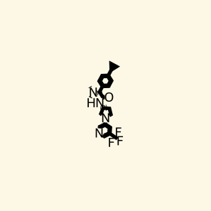 CN(C)[C@@H](C(=O)N[C@@H]1CCN(c2cncc(C(F)(F)F)c2)C1)c1ccc(C2CC2)cc1